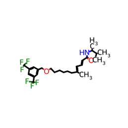 CC(=CC=CC(=O)NC(C)C(C)C)CCCCCCOCc1cc(C(F)(F)F)cc(C(F)(F)F)c1